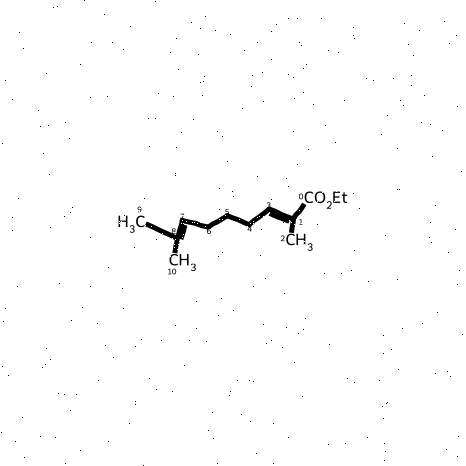 CCOC(=O)/C(C)=C/CCCC=C(C)C